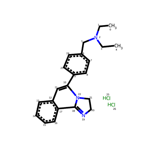 CCN(CC)Cc1ccc(C2=Cc3ccccc3C3=NCCN23)cc1.Cl.Cl